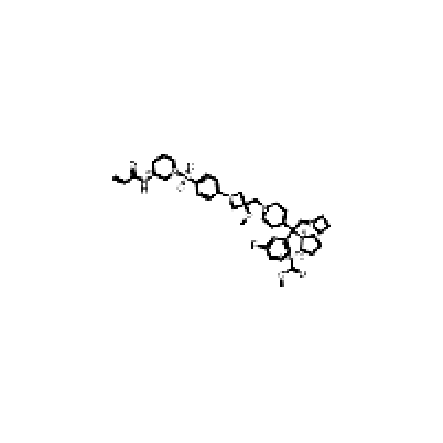 C=CC(=O)N[C@H]1CCCN(S(=O)(=O)c2ccc(N3CC(CN4CCC(C(CN5CCC5)(c5cccc(F)c5)[C@H]5CCC[C@@H]5NC(=O)OC)CC4)(OC)C3)cc2)C1